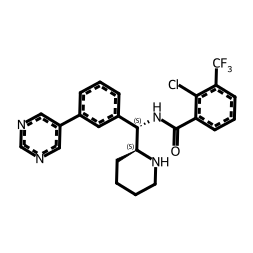 O=C(N[C@@H](c1cccc(-c2cncnc2)c1)[C@@H]1CCCCN1)c1cccc(C(F)(F)F)c1Cl